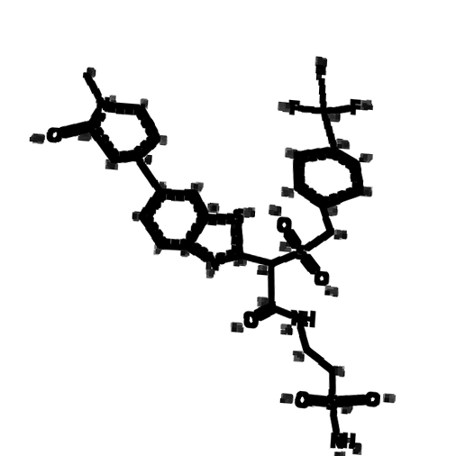 Cn1ccc(-c2ccc3nc(C(C(=O)NCCS(N)(=O)=O)S(=O)(=O)Cc4ccc(C(F)(F)F)cc4)sc3c2)cc1=O